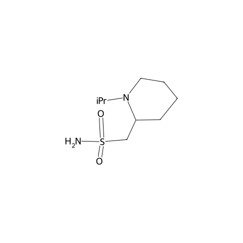 CC(C)N1CCCCC1CS(N)(=O)=O